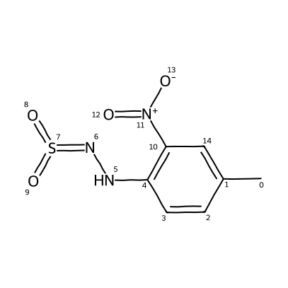 Cc1ccc(NN=S(=O)=O)c([N+](=O)[O-])c1